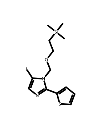 C[Si](C)(C)CCOCn1c(I)cnc1-c1cccs1